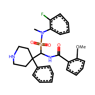 COc1ccccc1C(=O)NC(C1(c2ccccc2)CCNCC1)S(=O)(=O)N(C)c1ccccc1F